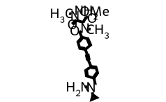 COC(=O)C(C(=O)N(C)N)N(C)C(=O)c1ccc(C#Cc2ccc(CN(N)C3CC3)cc2)cc1